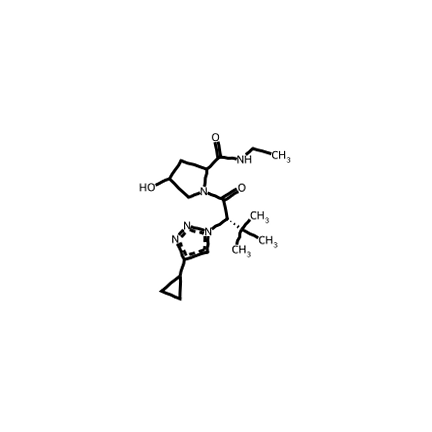 CCNC(=O)C1CC(O)CN1C(=O)[C@@H](n1cc(C2CC2)nn1)C(C)(C)C